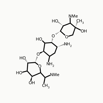 CNC(C)C1O[C@@H](O[C@@H]2C(N)C[C@@H](N)[C@@H](O[C@H]3OC[C@](C)(O)C(NC)[C@H]3O)C2O)[C@@H](O)C(O)[C@@H]1O